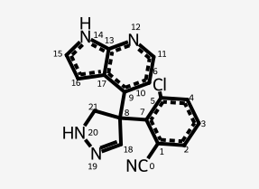 N#Cc1cccc(Cl)c1C1(c2ccnc3[nH]ccc23)C=NNC1